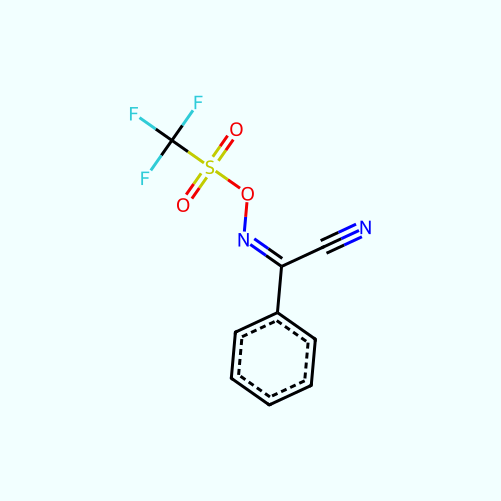 N#CC(=NOS(=O)(=O)C(F)(F)F)c1ccccc1